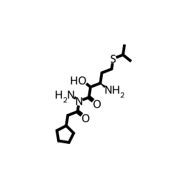 CC(C)SCC[C@@H](N)C(O)C(=O)N(N)C(=O)CC1CCCC1